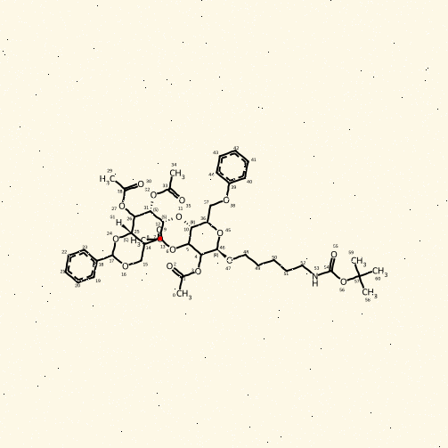 CC(=O)OC1C(OC(C)=O)[C@H](O[C@@H]2OC3COC(c4ccccc4)O[C@@H]3C(OC(C)=O)[C@@H]2OC(C)=O)C(COc2ccccc2)O[C@H]1OCCCCCNC(=O)OC(C)(C)C